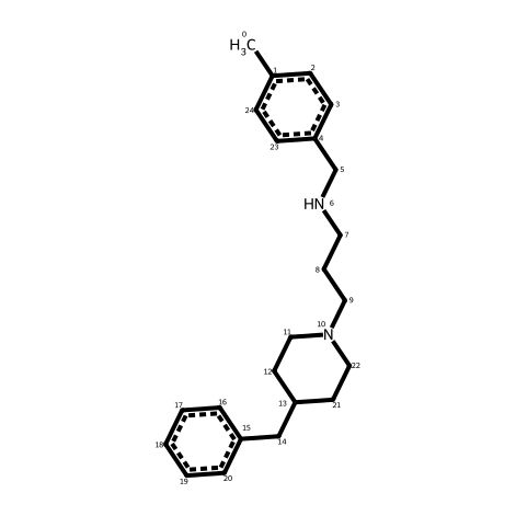 Cc1ccc(CNCCCN2CCC(Cc3ccccc3)CC2)cc1